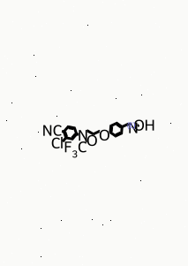 N#Cc1ccc(N2CC(COc3ccc(/C=N/O)cc3)OC2C(F)(F)F)cc1Cl